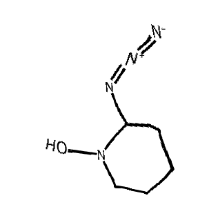 [N-]=[N+]=NC1CCCCN1O